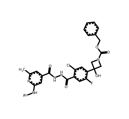 Cc1cc(C(=O)NNC(=O)c2cc(F)c(C3(O)CN(C(=O)OCc4ccccc4)C3)cc2Cl)cc(NC(C)C)n1